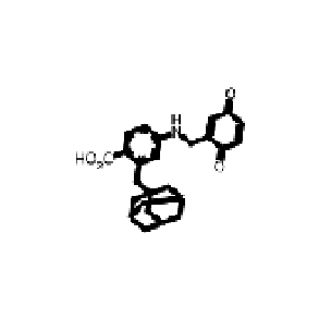 O=C1C=CC(=O)C(CNc2ccc(C(=O)O)c(CC34CC5CC(CC(C5)C3)C4)c2)=C1